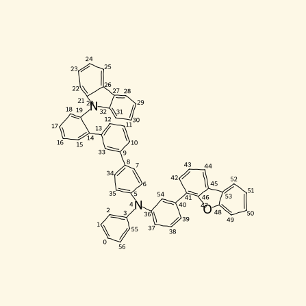 c1ccc(N(c2ccc(-c3cccc(-c4ccccc4-n4c5ccccc5c5ccccc54)c3)cc2)c2cccc(-c3cccc4c3oc3ccccc34)c2)cc1